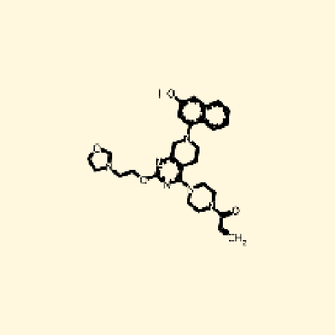 C=CC(=O)N1CCN(c2nc(OCCN3CCOC3)nc3c2CCN(c2cc(O)cc4ccccc24)C3)CC1